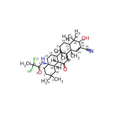 CC1(C)CC[C@]2(NC(=O)C(C)(F)F)CC[C@]3(C)[C@H](C(=O)C=C4[C@@]5(C)C=C(C#N)C(O)C(C)(C)[C@@H]5CC[C@]43C)[C@@H]2C1